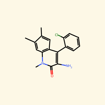 Cc1cc2c(-c3ccccc3Cl)c(N)c(=O)n(C)c2cc1C